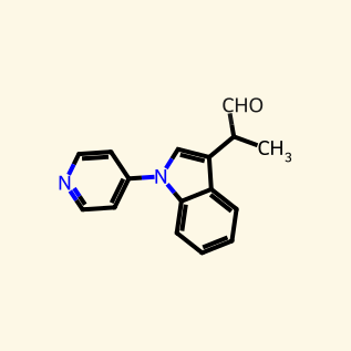 CC(C=O)c1cn(-c2ccncc2)c2ccccc12